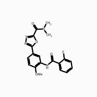 COc1ccc(-c2nnc(C(=O)N(C)C)o2)cc1NC(=O)c1ccccc1F